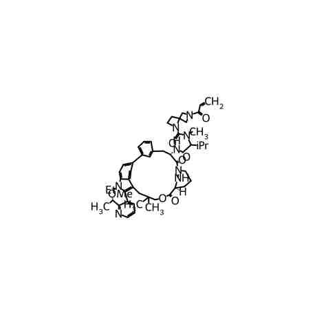 C=CC(=O)N1CC2(CCN2C(=O)N(C)C(C(=O)N[C@H]2Cc3cccc(c3)-c3ccc4c(c3)c(c(-c3cccnc3[C@H](C)OC)n4CC)CC(C)(C)COC(=O)[C@@H]3CCCN(N3)C2=O)C(C)C)C1